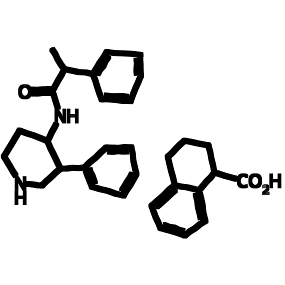 CC(C(=O)NC1CCNCC1c1ccccc1)c1ccccc1.O=C(O)C1CCCc2ccccc21